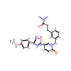 CN(C)C(=O)CCc1cccc(Cn2cc(-c3nc(-c4ccc(OC(F)(F)F)cc4)no3)ccc2=O)c1